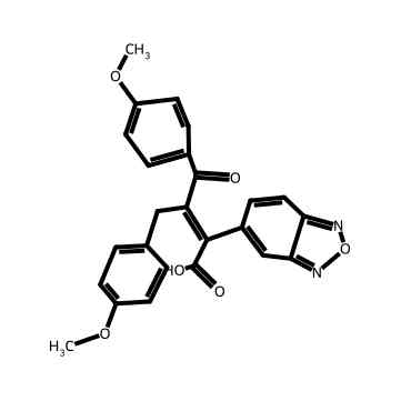 COc1ccc(CC(C(=O)c2ccc(OC)cc2)=C(C(=O)O)c2ccc3nonc3c2)cc1